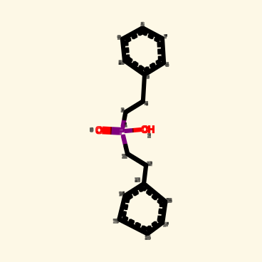 O=P(O)(CCc1ccccc1)CCc1ccccc1